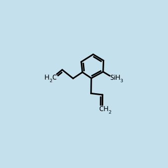 C=CCc1cccc([SiH3])c1CC=C